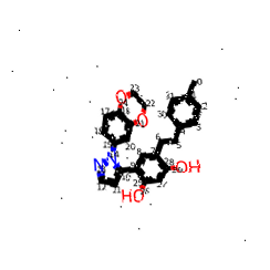 Cc1ccc(CCc2cc(-c3ccnn3-c3ccc4c(c3)OCCO4)c(O)cc2O)cc1